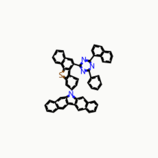 c1ccc(-c2nc(-c3cccc4ccccc34)nc(-c3cc4ccccc4c4sc5cc(-n6c7cc8ccccc8cc7c7cc8ccccc8cc76)ccc5c34)n2)cc1